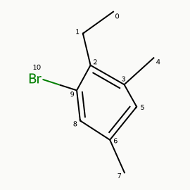 CCc1c(C)cc(C)cc1Br